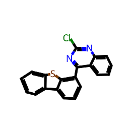 Clc1nc(-c2cccc3c2sc2ccccc23)c2ccccc2n1